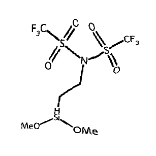 CO[SiH](CCN(S(=O)(=O)C(F)(F)F)S(=O)(=O)C(F)(F)F)OC